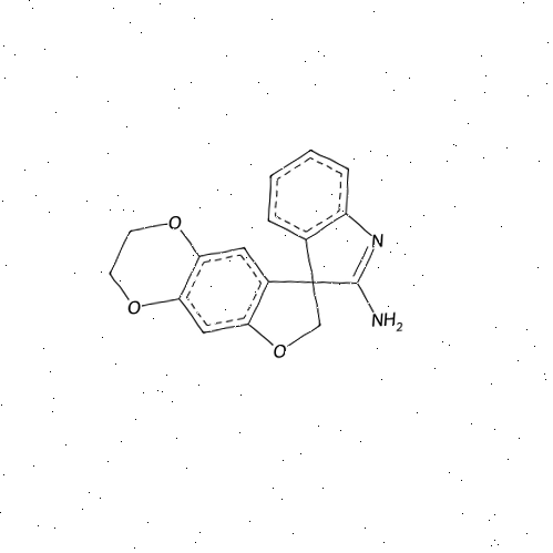 NC1=Nc2ccccc2C12COc1cc3c(cc12)OCCO3